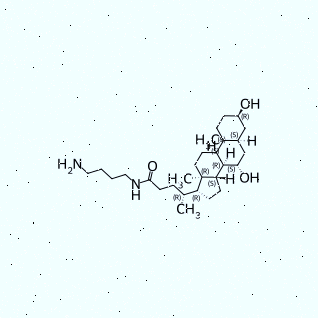 C[C@H](CCC(=O)NCCCCN)[C@H]1CC[C@H]2[C@@H]3[C@@H](O)C[C@@H]4C[C@H](O)CC[C@]4(C)[C@H]3CC[C@]12C